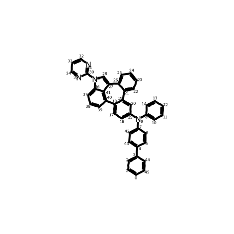 c1ccc(-c2ccc(N(c3ccccc3)c3ccc4c(c3)-c3ccccc3-c3cn(-c5ncccn5)c5cccc-4c35)cc2)cc1